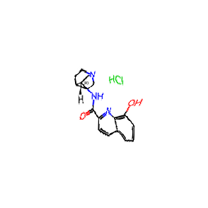 Cl.O=C(N[C@H]1CN2CCC1CC2)c1ccc2cccc(O)c2n1